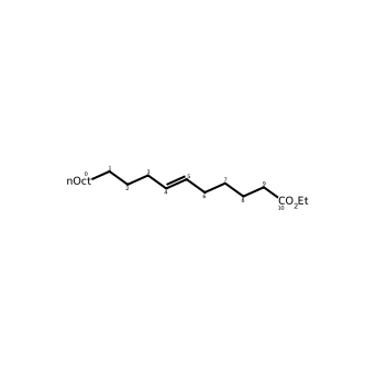 CCCCCCCCCCCC=CCCCCC(=O)OCC